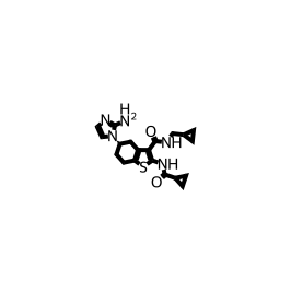 Nc1nccn1[C@H]1CCc2sc(NC(=O)C3CC3)c(C(=O)NCC3CC3)c2C1